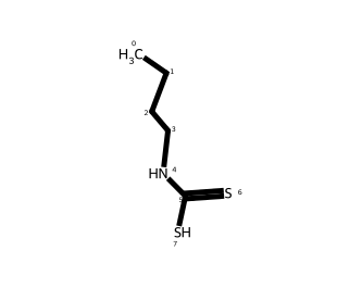 CCC[CH]NC(=S)S